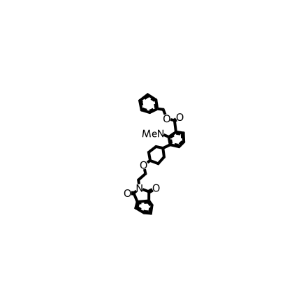 CNc1c(C(=O)OCc2ccccc2)cccc1C1CCC(OCCN2C(=O)c3ccccc3C2=O)CC1